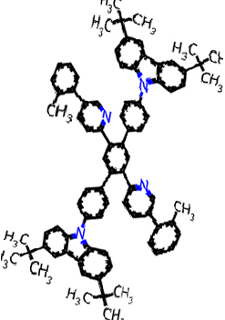 Cc1ccccc1-c1ccc(-c2cc(-c3ccc(-n4c5ccc(C(C)(C)C)cc5c5cc(C(C)(C)C)ccc54)cc3)c(-c3ccc(-c4ccccc4C)cn3)cc2-c2ccc(-n3c4ccc(C(C)(C)C)cc4c4cc(C(C)(C)C)ccc43)cc2)nc1